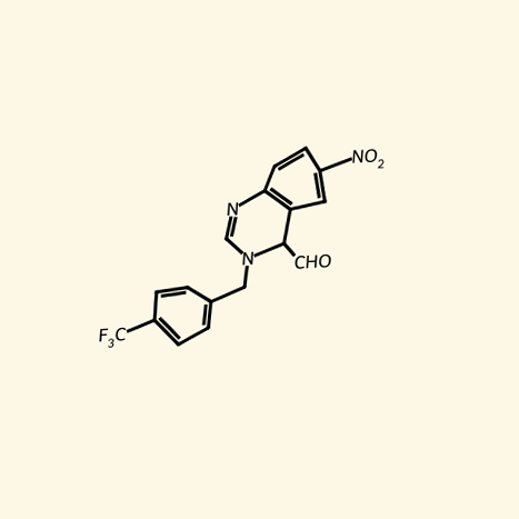 O=CC1c2cc([N+](=O)[O-])ccc2N=CN1Cc1ccc(C(F)(F)F)cc1